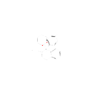 O=C(O)N1CCc2ccccc2[C@@]1(c1ccc(F)cc1)[C@@H]1CN2CCC1CC2